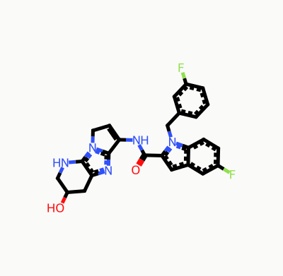 O=C(NC1=CCn2c1nc1c2NCC(O)C1)c1cc2cc(F)ccc2n1Cc1cccc(F)c1